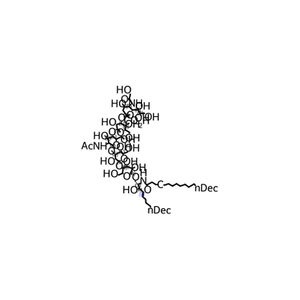 CCCCCCCCCCCCC/C=C/[C@@H](O)[C@H](CO[C@@H]1OC(CO)[C@@H](O[C@@H]2OC(CO)[C@H](O)[C@H](O[C@@H]3OC(CO)[C@@H](O[C@@H]4OC(CO)[C@H](O)[C@H](O[C@]5(C(=O)O)CC(O)[C@@H](NC(=O)CO)C([C@H](O)[C@H](O)CO)O5)C4O)[C@H](O)C3NC(C)=O)C2O)[C@H](O)C1O)NC(=O)CCCCCCCCCCCCCCCCCCCCC